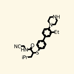 CCc1cc(-c2ccc(SC(CC(C)C)C(=O)NCC#N)cc2)ccc1N1CCNCC1